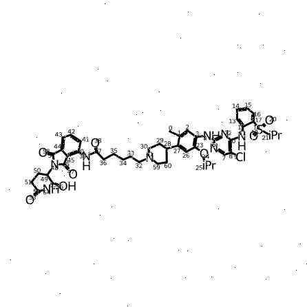 Cc1cc(Nc2ncc(Cl)c(Nc3ccccc3S(=O)(=O)C(C)C)n2)c(OC(C)C)cc1C1CCN(CCCCCC(=O)Nc2cccc3c2C(=O)N(C2CCC(=O)NC2O)C3=O)CC1